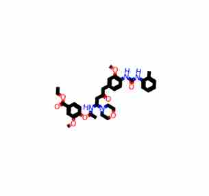 CCOC(=O)c1ccc(OC(C)NC(CC(=O)Cc2ccc(NC(=O)Nc3ccccc3C)c(OC)c2)N2CCOCC2)c(OC)c1